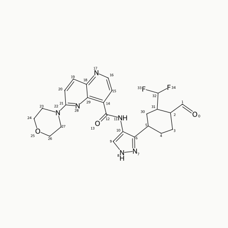 O=CC1CCC(c2n[nH]cc2NC(=O)c2ccnc3ccc(N4CCOCC4)nc23)CC1C(F)F